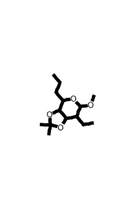 CCCC1OC(OC)C(CC)C2OC(C)(C)OC12